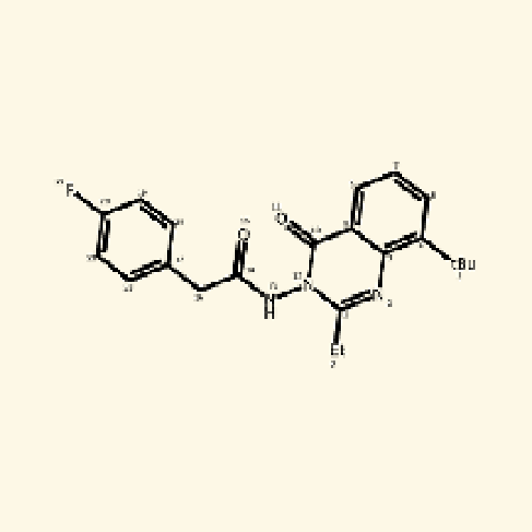 CCc1nc2c(C(C)(C)C)cccc2c(=O)n1NC(=O)Cc1ccc(F)cc1